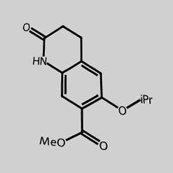 COC(=O)c1cc2c(cc1OC(C)C)CCC(=O)N2